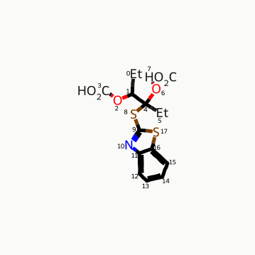 CCC(OC(=O)O)C(CC)(OC(=O)O)Sc1nc2ccccc2s1